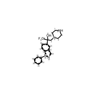 OC(CN1CCNCC1)(c1ccc2c(cnn2-c2ccccc2)c1)C(F)(F)F